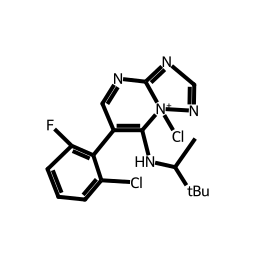 CC(NC1=C(c2c(F)cccc2Cl)C=NC2=NC=N[N+]21Cl)C(C)(C)C